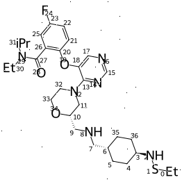 CCSN[C@H]1CC[C@H](CNC[C@H]2CN(c3ncncc3Oc3ccc(F)cc3C(=O)N(CC)C(C)C)CCO2)CC1